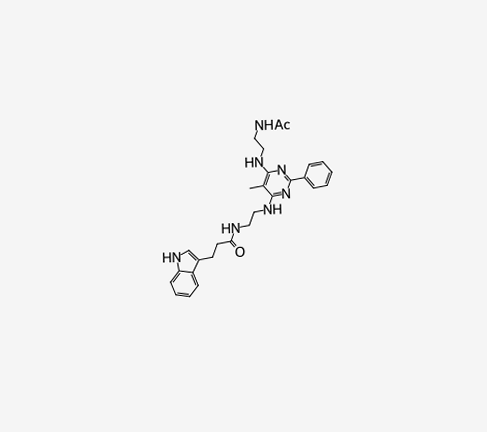 CC(=O)NCCNc1nc(-c2ccccc2)nc(NCCNC(=O)CCc2c[nH]c3ccccc23)c1C